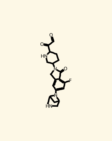 O=CC(=O)C1CCC(N2Cc3cc(N4C5CNCC4C5)cc(F)c3C2=O)CN1